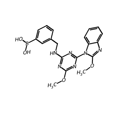 COc1nc(NCc2cccc(B(O)O)c2)nc(-n2c(OC)nc3ccccc32)n1